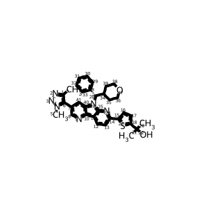 Cc1nnn(C)c1-c1cnc2c3ccc(-c4ccc(C(C)(C)O)s4)nc3n([C@H](c3ccccc3)C3CCOCC3)c2c1